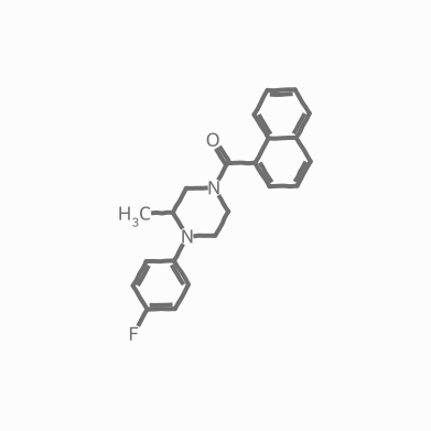 CC1CN(C(=O)c2cccc3ccccc23)CCN1c1ccc(F)cc1